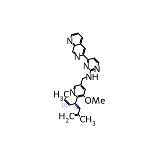 C=C(C)/C=C(\C=C/C)c1ncc(CNc2nccc(-c3cc4cccnc4cn3)n2)cc1OC